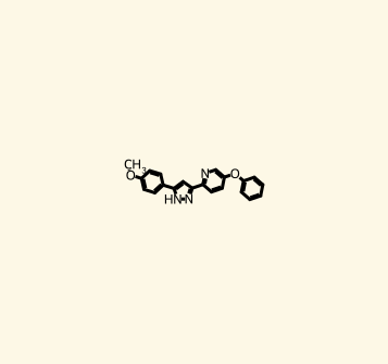 COc1ccc(-c2cc(-c3ccc(Oc4ccccc4)cn3)n[nH]2)cc1